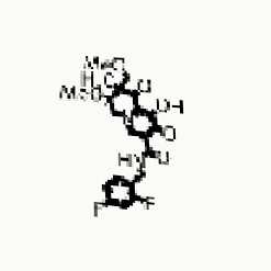 COC[C@]1(C)C(=O)c2c(O)c(=O)c(C(=O)NCc3ccc(F)cc3F)cn2C[C@@H]1OC